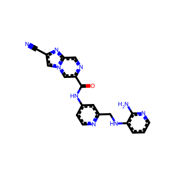 N#Cc1cn2cc(C(=O)Nc3ccnc(CNc4cccnc4N)c3)ncc2n1